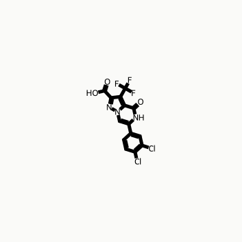 O=C(O)c1nn2cc(-c3ccc(Cl)c(Cl)c3)[nH]c(=O)c2c1C(F)(F)F